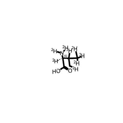 [2H]CC([2H])(C([2H])([2H])[2H])[C@@]([2H])(C(=O)O)N([2H])[2H]